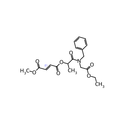 CCOC(=O)CN(Cc1ccccc1)C(=O)C(C)OC(=O)/C=C/C(=O)OC